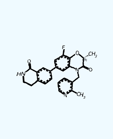 Cc1ncccc1CN1C(=O)[C@@H](C)Oc2c(F)cc(-c3ccc4c(c3)C(=O)NCC4)cc21